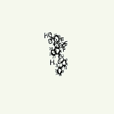 Cc1c(COc2cc(OC(F)C(F)F)c(CN3CCCCC3C(=O)O)c3c2CCC3)cccc1-c1ccccc1